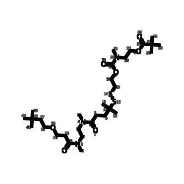 CN(CCN(C)C(=O)CCC(C)(C)SSCCOC(=O)N(C)CCOC(=O)C(C)(C)C)C(=O)CCOCCC(C)(C)C